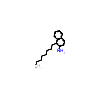 CCCCCCCCc1c(N)ccc2ccccc12